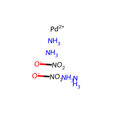 N.N.N.N.O=[N+]([O-])[O-].O=[N+]([O-])[O-].[Pd+2]